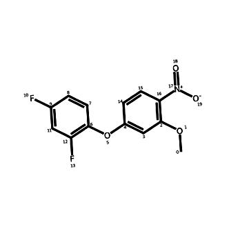 COc1cc(Oc2ccc(F)cc2F)ccc1[N+](=O)[O-]